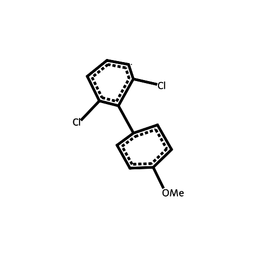 COc1ccc(-c2c(Cl)[c]ccc2Cl)cc1